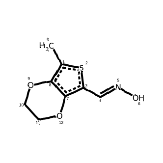 Cc1sc(/C=N/O)c2c1OCCO2